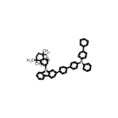 CC1(C)CCC(C)(C)c2cc(-n3c4ccccc4c4ccc(-c5ccc(-c6ccc(N(c7ccccc7)c7ccc(-c8ccccc8)cc7)cc6)cc5)cc43)ccc21